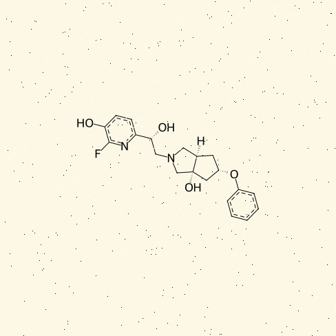 Oc1ccc([C@H](O)CN2C[C@H]3C[C@H](Oc4ccccc4)C[C@@]3(O)C2)nc1F